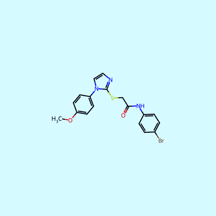 COc1ccc(-n2ccnc2SCC(=O)Nc2ccc(Br)cc2)cc1